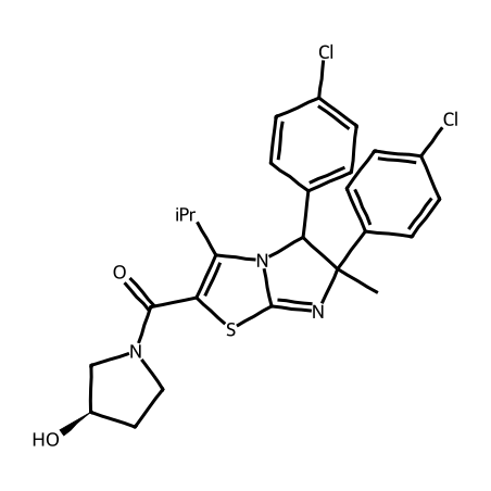 CC(C)C1=C(C(=O)N2CC[C@@H](O)C2)SC2=NC(C)(c3ccc(Cl)cc3)C(c3ccc(Cl)cc3)N21